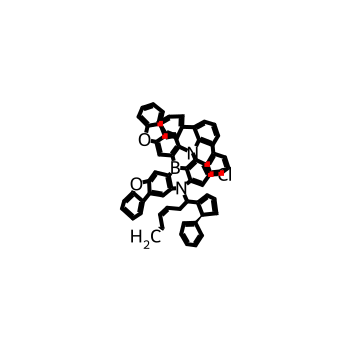 C=C/C=C\CC(C1=CC=C[C@H]1c1ccccc1)N1c2cc3c(cc2B2c4cc5oc6ccccc6c5cc4N(c4c(-c5ccccc5)cccc4-c4ccccc4)c4cc(Cl)cc1c42)oc1ccccc13